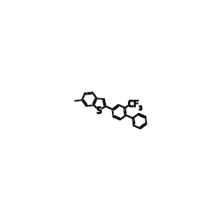 Cc1ccc2cc(-c3ccc(-c4ccccc4)c(C(F)(F)F)c3)sc2c1